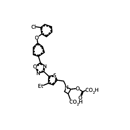 CCc1cc(CN2CC(C(=O)O)C2OC(=O)C(=O)O)sc1-c1noc(-c2ccc(Oc3ccccc3Cl)cc2)n1